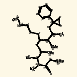 CCC(C)C(C(CC(CCCNC=O)C(OC)C(C)CC1(c2ccccc2)CC1)OC)N(C)C(=O)CNC